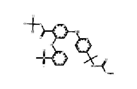 [2H]C([2H])([2H])NC(=O)c1nnc(Nc2ccc(C(C)(C)NC(=O)OC)cn2)cc1Nc1ncccc1S(C)(=O)=O